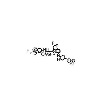 COc1cc(S(N)(=O)=O)ccc1NCC#Cc1sc2c(NC3CCC(N4CCS(=O)(=O)CC4)CC3)cccc2c1CC(F)F